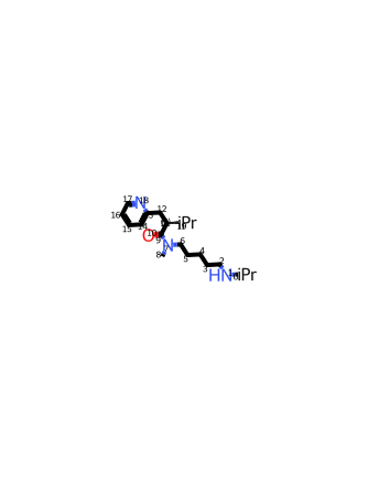 CC(C)NCCCCCN(C)C(=O)[C@@H](Cc1ccccn1)C(C)C